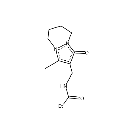 CCC(=O)NCc1c(C)n2n(c1=O)CCCC2